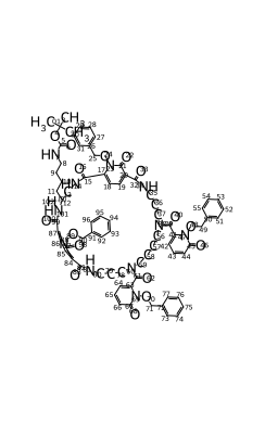 CC(C)(C)OC(=O)NCCCC[C@H]1CNC(=O)c2ccc(c(=O)n2OCc2ccccc2)C(=O)NCCCN(C(=O)c2cccc(=O)n2OCc2ccccc2)CCCCN(C(=O)c2cccc(=O)n2OCc2ccccc2)CCCNC(=O)c2ccc(n(OCc3ccccc3)c2=O)C(=O)N1